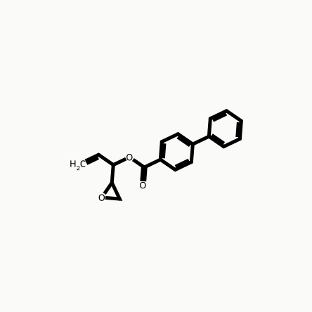 C=CC(OC(=O)c1ccc(-c2ccccc2)cc1)C1CO1